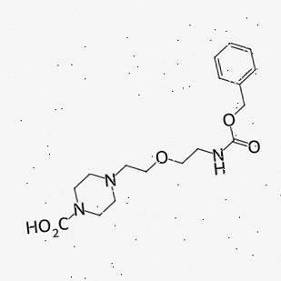 O=C(NCCOCCN1CCN(C(=O)O)CC1)OCc1ccccc1